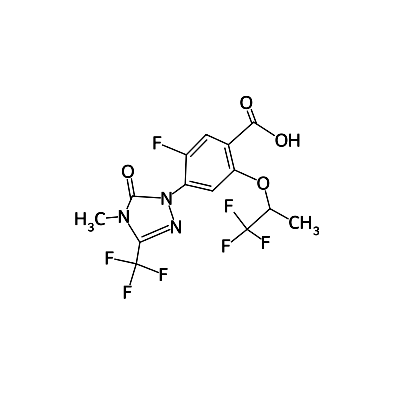 CC(Oc1cc(-n2nc(C(F)(F)F)n(C)c2=O)c(F)cc1C(=O)O)C(F)(F)F